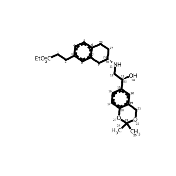 CCOC(=O)CCc1ccc2c(c1)C[C@@H](NC[C@@H](O)c1ccc3c(c1)COC(C)(C)O3)CC2